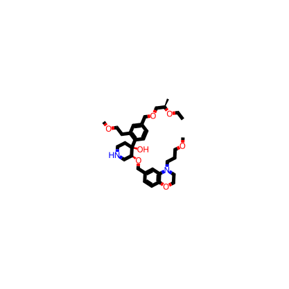 CCO[C@H](C)COCc1ccc([C@@]2(O)CCNC[C@@H]2OCc2ccc3c(c2)N(CCCOC)CCO3)c(CCOC)c1